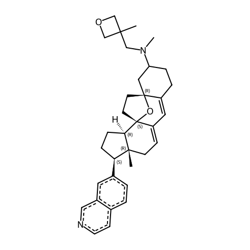 CN(CC1(C)COC1)C1CCC2=CC3=CC[C@]4(C)[C@@H](c5ccc6ccncc6c5)CC[C@H]4[C@@]34CC[C@]2(C1)O4